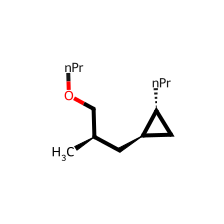 CCCOC[C@H](C)C[C@@H]1C[C@H]1CCC